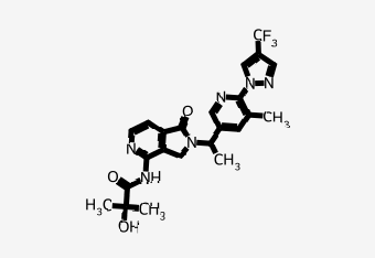 Cc1cc(C(C)N2Cc3c(ccnc3NC(=O)C(C)(C)O)C2=O)cnc1-n1cc(C(F)(F)F)cn1